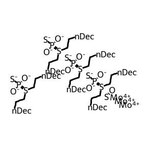 CCCCCCCCCCCCS(CCCCCCCCCCCC)=P([O-])([O-])[S-].CCCCCCCCCCCCS(CCCCCCCCCCCC)=P([O-])([O-])[S-].CCCCCCCCCCCCS(CCCCCCCCCCCC)=P([O-])([O-])[S-].CCCCCCCCCCCCS(CCCCCCCCCCCC)=P([O-])([O-])[S-].O=S.[Mo+4].[Mo+4].[Mo+4]